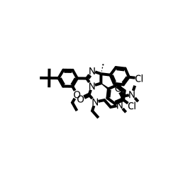 CCOc1cc(C(C)(C)C)ccc1C1=N[C@@](C)(c2ccc(Cl)cc2)[C@@H](c2ccc(Cl)cc2)N1C(=O)N(CC)CCN(C)C(=O)N(C)C